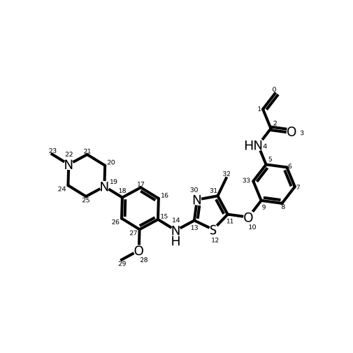 C=CC(=O)Nc1cccc(Oc2sc(Nc3ccc(N4CCN(C)CC4)cc3OC)nc2C)c1